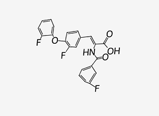 O=C(O)C(=Cc1ccc(Oc2ccccc2F)c(F)c1)NC(=O)c1cccc(F)c1